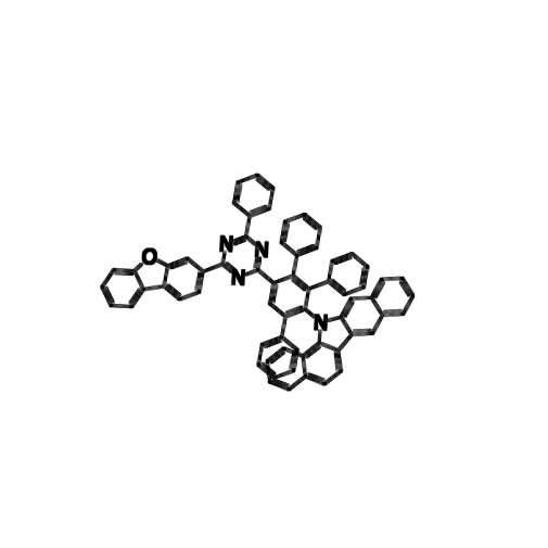 c1ccc(-c2nc(-c3ccc4c(c3)oc3ccccc34)nc(-c3cc(-c4ccccc4)c(-n4c5cc6ccccc6cc5c5ccc6ccccc6c54)c(-c4ccccc4)c3-c3ccccc3)n2)cc1